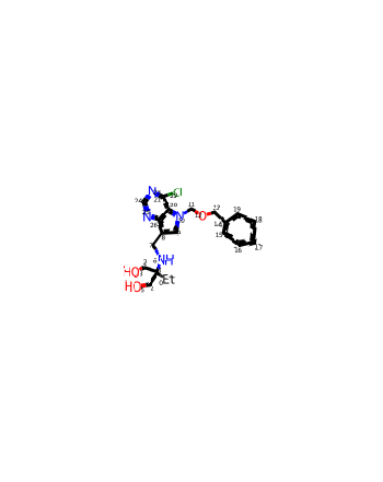 CCC(CO)(CO)NCc1cn(COCc2ccccc2)c2c(Cl)ncnc12